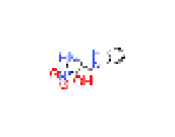 CC(C(O)/C(C=N)=C/NCc1ccccc1)[N+](=O)[O-]